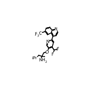 CC(C)CC(C)(N)COc1cnc(-c2ccnc3ccc(C(F)(F)F)cc23)cc1C(F)F